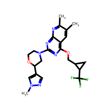 Cc1cc2c(OCC3CC3C(F)(F)F)nc(N3CCOC(c4cnn(C)c4)C3)nc2nc1C